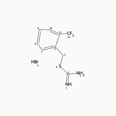 Br.N=C(N)SCc1ccccc1C(F)(F)F